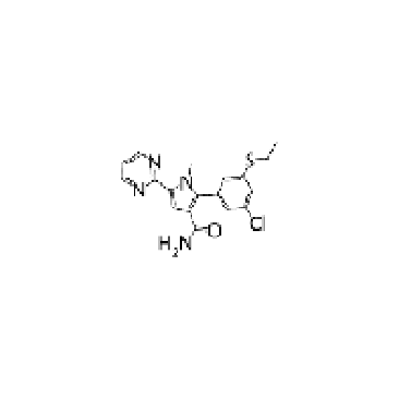 CCSc1cc(Cl)cc(-c2c(C(N)=O)cc(-c3ncccn3)n2C)c1